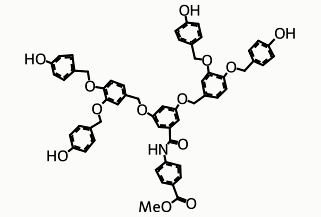 COC(=O)c1ccc(NC(=O)c2cc(OCc3ccc(OCc4ccc(O)cc4)c(OCc4ccc(O)cc4)c3)cc(OCc3ccc(OCc4ccc(O)cc4)c(OCc4ccc(O)cc4)c3)c2)cc1